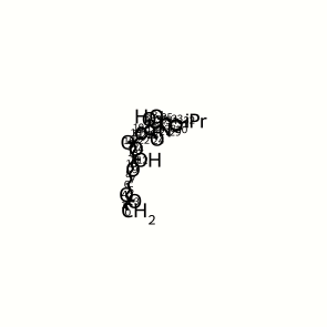 C=CC(=O)OCCCCOCC(O)COC(=O)c1ccc2c(c1)C(=O)C(c1nc3ccc(C(C)C)cc3cc1O)C2=O